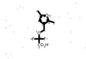 Cc1cc(COC(F)(F)C(=O)O)c(C)o1